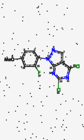 COc1ccc(-n2ncc3c(Cl)nc(Cl)nc32)c(F)c1